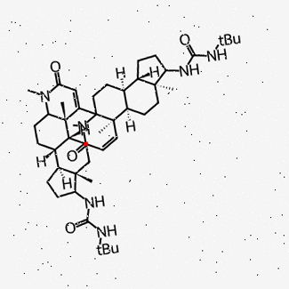 CN1C(=O)C=C(C23CC[C@@H]4[C@@H](CC[C@]5(C)C(NC(=O)NC(C)(C)C)CC[C@@H]45)[C@@]2(C)C=CC(=O)N3C)[C@@]2(C)C1CC[C@@H]1[C@H]2CC[C@]2(C)C(NC(=O)NC(C)(C)C)CC[C@@H]12